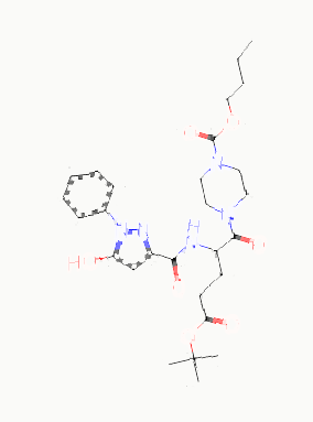 CCCCOC(=O)N1CCN(C(=O)C(CCC(=O)OC(C)(C)C)NC(=O)c2cc(O)n(-c3ccccc3)n2)CC1